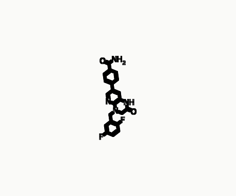 NC(=O)c1ccc(-c2cnc3c(c2)NC(=O)CN3Cc2cc(F)ccc2F)cc1